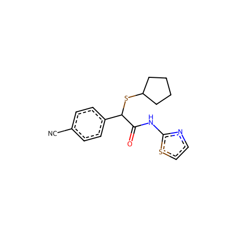 N#Cc1ccc(C(SC2CCCC2)C(=O)Nc2nccs2)cc1